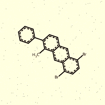 Cc1c(-c2ccccc2)ccc2cc3c(Br)ccc(Br)c3cc12